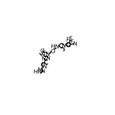 CC[C@H]1CC(NCCOCCN2CC(=O)N(CC)c3nc(-c4ccc(-c5nc[nH]n5)nc4C)cnc32)CCN1c1ccc(C#N)c(C(F)(F)F)c1